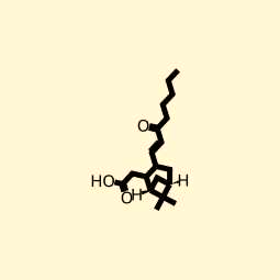 CCCCCC(=O)C=CC1C[C@@H]2C[C@@H](C1CC(=O)O)C2(C)C